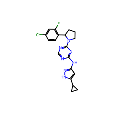 Fc1cc(Cl)ccc1C1CCCN1c1ncnc(Nc2cc(C3CC3)[nH]n2)n1